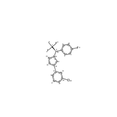 CC(F)(F)[C@@H](c1ccc(F)cc1)n1cc(-c2cncc(Cl)n2)cn1